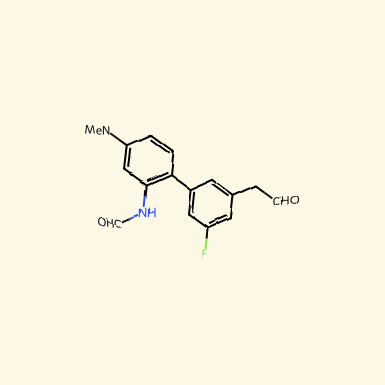 CNc1ccc(-c2cc(F)cc(CC=O)c2)c(NC=O)c1